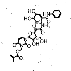 C=C(C)C(=O)OCn1c(=O)ccn([C@@H]2O[C@H]([C@@H](O[C@H]3OC(C(=O)Nc4ccccc4)=C[C@H](O)[C@@H]3O)C(N)=O)[C@@H](CO)[C@H]2O)c1=O